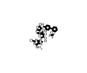 Nc1nc(Cl)nc2c1ncn2[C@@H]1O[C@@H]2C(O[C@](Cc3ccc(-c4ccccc4OC(F)(F)F)cc3)(C(=O)O)c3cscn3)[C@]2(O)[C@H]1O